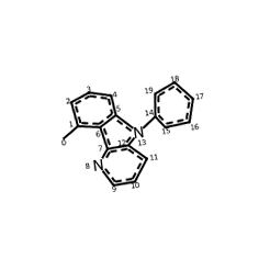 Cc1cccc2c1c1ncccc1n2-c1ccccc1